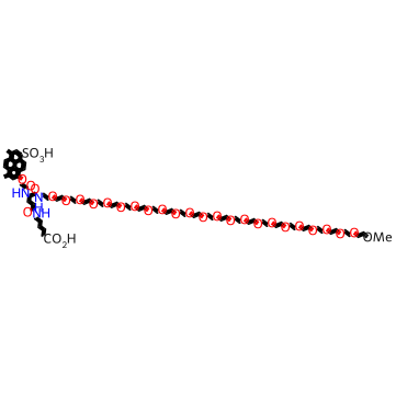 COCCOCCOCCOCCOCCOCCOCCOCCOCCOCCOCCOCCOCCOCCOCCOCCOCCOCCOCCOCCOCCOCCOCCOCCNC(=O)C(CCC(=O)NCCCCCC(=O)O)NC(=O)COc1cc(C)c2c3c1C=CC1C(S(=O)(=O)O)=CC(C)=C(C=C2)C31